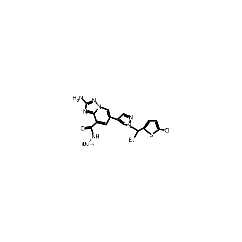 CCC(c1ccc(Cl)s1)n1cc(-c2cc(C(=O)N[C@@H](C)CC)c3nc(N)nn3c2)cn1